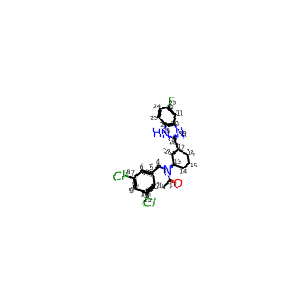 CC(=O)N(Cc1cc(Cl)cc(Cl)c1)C1CCCC(c2nc3cc(F)ccc3[nH]2)C1